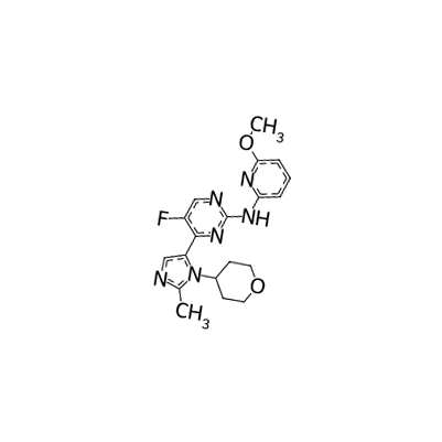 COc1cccc(Nc2ncc(F)c(-c3cnc(C)n3C3CCOCC3)n2)n1